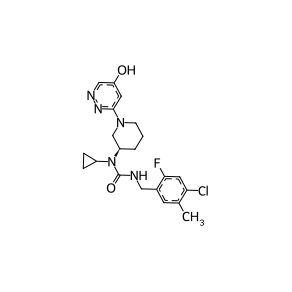 Cc1cc(CNC(=O)N(C2CC2)[C@@H]2CCCN(c3cc(O)cnn3)C2)c(F)cc1Cl